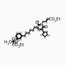 CCOC(=O)C=CCn1c(=O)c(C2CCCC2)nn(CCCCCCc2cccc(OC(C)(C)C(=O)OCC)c2)c1=O